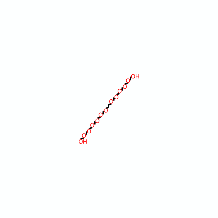 OCCOCCOCCOCCOCCOCCCCOCCOCCOCCOCCOCCOCCO